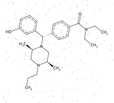 CCCN1C[C@@H](C)N([C@@H](c2ccc(C(=O)N(CC)CC)cc2)c2cccc(O)c2)C[C@H]1C